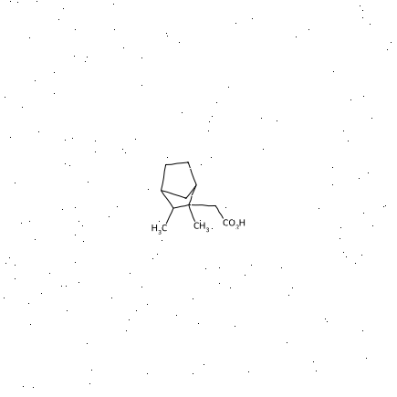 CC1C2CCC(C2)C1(C)CC(=O)O